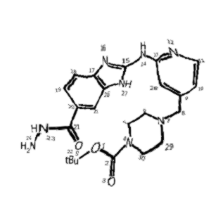 CC(C)(C)OC(=O)N1CCN(Cc2ccnc(Nc3nc4ccc(C(=O)NN)cc4[nH]3)c2)CC1